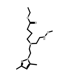 CCOC(=O)CCCN(CCNOC)CCn1nc(C)cc1C